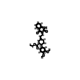 CCOC(=O)[C@H]1CN(CCn2c(=O)[nH]c3ccccc3c2=O)CC[C@H]1c1ccc(OC)c(OC)c1